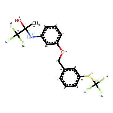 CC(O)(Nc1cccc(OCc2cccc(SC(F)(F)F)c2)c1)C(F)(F)F